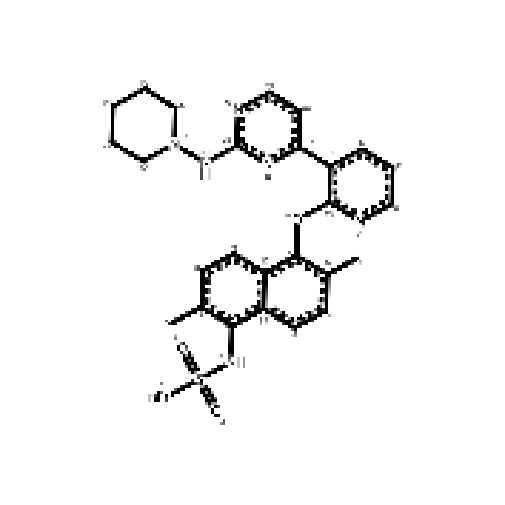 CCCS(=O)(=O)Nc1c(C)ccc2c(Oc3ncccc3-c3ccnc(NN4CCCCC4)n3)c(C)ccc12